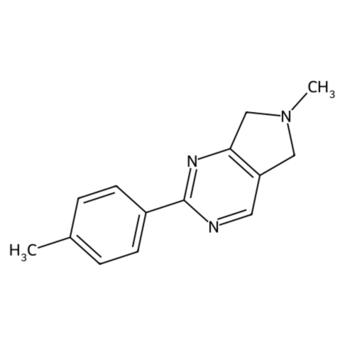 Cc1ccc(-c2ncc3c(n2)CN(C)C3)cc1